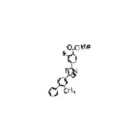 COC(=O)c1ccc(-c2noc(-c3ccc(-c4ccccc4)c(C)c3)n2)cc1F